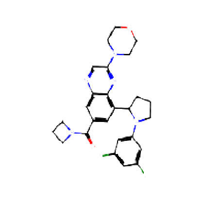 O=C(c1cc(C2CCCN2c2cc(F)cc(F)c2)c2nc(N3CCOCC3)cnc2c1)N1CCC1